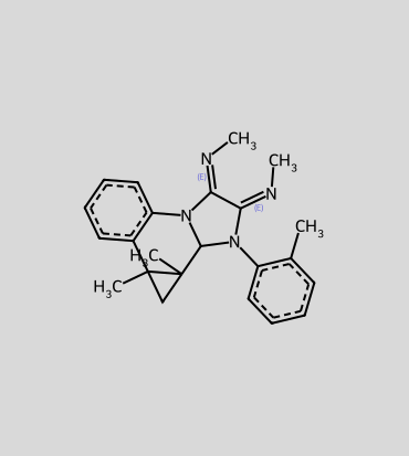 C/N=C1\C(=N/C)N2c3ccccc3C3(C)CC3(C)C2N1c1ccccc1C